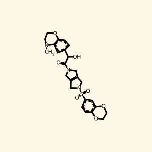 CN1CCOc2ccc(C(O)C(=O)N3CC4=C(C3)CN(S(=O)(=O)c3ccc5c(c3)OCCO5)C4)cc21